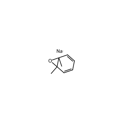 CC12C=CC=CC1(C)O2.[Na]